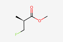 COC(=O)[C@H](C)CF